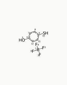 F[B-](F)(F)F.Oc1ccc(S)cc1